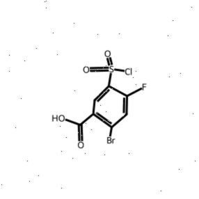 O=C(O)c1cc(S(=O)(=O)Cl)c(F)cc1Br